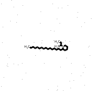 C=CC(N)N1CCCCC1CCCCCCCCCCCCCCCC